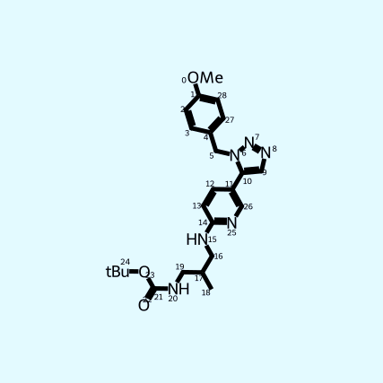 COc1ccc(Cn2nncc2-c2ccc(NCC(C)CNC(=O)OC(C)(C)C)nc2)cc1